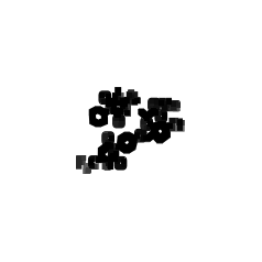 CCc1ccc(COc2ccc(-n3c(=O)cc(C(F)(F)F)n(C)c3=O)cc2)c(OC(C)C(=O)OC)c1.CN(C)c1nc(=O)n(C2CCCCC2)c(=O)n1C